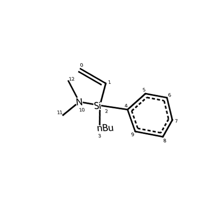 C=C[Si](CCCC)(c1ccccc1)N(C)C